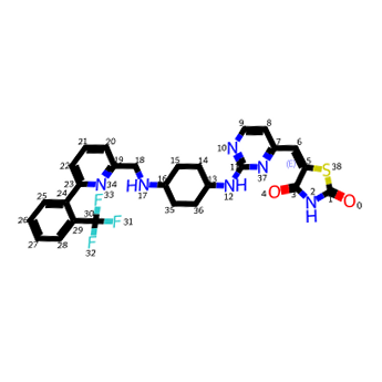 O=C1NC(=O)/C(=C\c2ccnc(NC3CCC(NCc4cccc(-c5ccccc5C(F)(F)F)n4)CC3)n2)S1